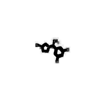 CC[C@@H]1CCN([C@@H](C)c2cc(Cl)cc(Cl)c2)C1